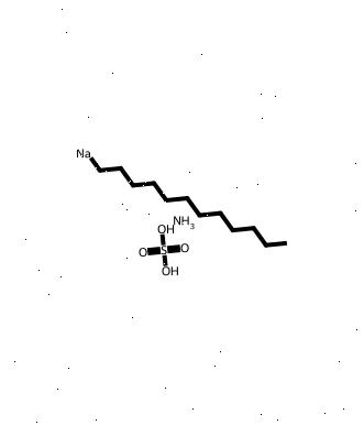 CCCCCCCCCCC[CH2][Na].N.O=S(=O)(O)O